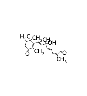 CC(C=O)=CC=CC(C)(O)C=CC1=C(C)C(=O)CCC1(C)C